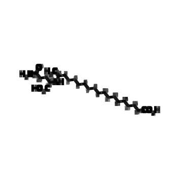 C=C(CCCCCCCCCCCCCCCCC(=O)O)N[C@@H](CCC(N)=O)C(=O)O